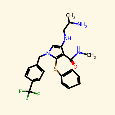 CNC(=O)c1c(NCC(C)N)cn(Cc2ccc(C(F)(F)F)cc2)c1Sc1ccccc1